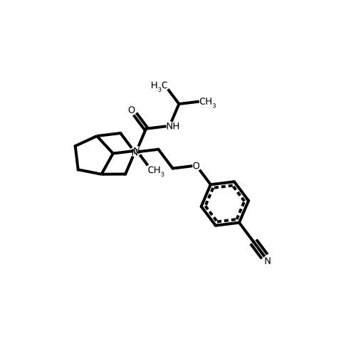 CC(C)NC(=O)N(C)C1C2CCC1CN(CCOc1ccc(C#N)cc1)C2